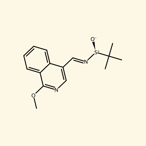 COc1ncc(C=N[S@@+]([O-])C(C)(C)C)c2ccccc12